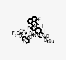 C#Cc1c(F)ccc2cccc(-c3nc4c5c(nc(OC[C@@]67CCCN6C[C@H](OC(C(F)(F)F)(C(F)(F)F)C(F)(F)F)C7)nc5c3F)N3CCN(C(=O)OC(C)(C)C)C[C@H]3CC4)c12